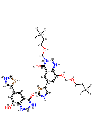 C[Si](C)(C)CCOCOc1cc(-c2cncs2)cc2c(=O)n(COCC[Si](C)(C)C)cnc12.O=c1[nH]cnc2c(O)cc(-c3cncs3)cc12